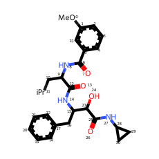 COc1cccc(C(=O)NC(CC(C)C)C(=O)NC(Cc2ccccc2)C(O)C(=O)NC2CC2)c1